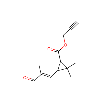 C#CCOC(=O)C1C(/C=C(\C)C=O)C1(C)C